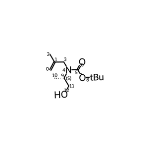 C=C(C)CN(C(=O)OC(C)(C)C)[C@@H](C)CO